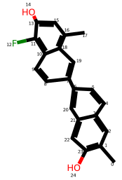 Cc1cc2ccc(-c3ccc4c(F)c(O)cc(C)c4c3)cc2cc1O